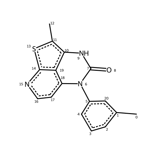 Cc1cccc(N2C(=O)Nc3c(C)sc4nccc2c34)c1